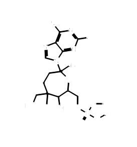 CCOP(=O)(OCC)OCC1OC(C(C)CC)(n2cnc3c(N)nc(Cl)nc32)CCC(C)(CO)C1O